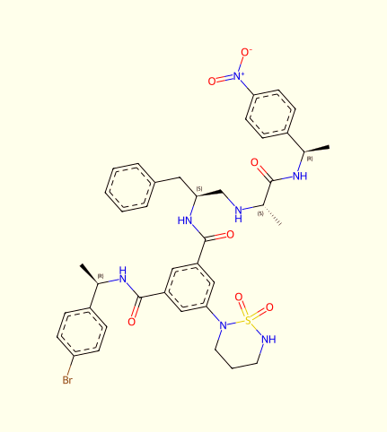 C[C@H](NC[C@H](Cc1ccccc1)NC(=O)c1cc(C(=O)N[C@H](C)c2ccc(Br)cc2)cc(N2CCCNS2(=O)=O)c1)C(=O)N[C@H](C)c1ccc([N+](=O)[O-])cc1